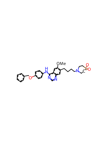 COc1cc2c(Nc3ccc(OCc4ccccc4)cc3)ncnc2cc1CCCCN1CCS(=O)(=O)CC1